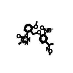 CO/N=C(\C)c1ccc(OCc2c(OC)cccc2-n2nnn(C)c2=O)c([N+](=O)[O-])c1